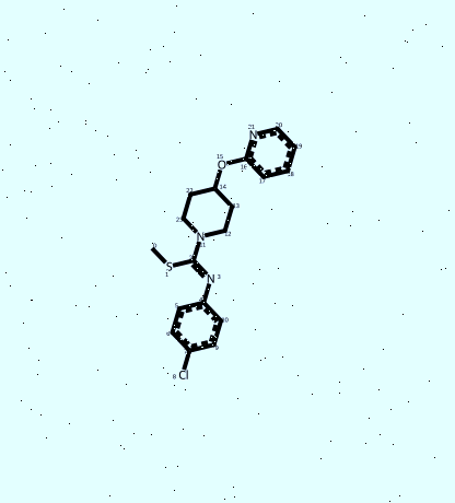 CS/C(=N\c1ccc(Cl)cc1)N1CCC(Oc2ccccn2)CC1